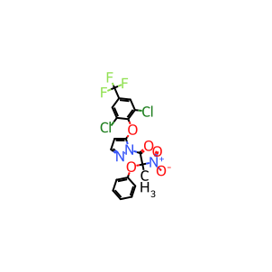 CC(Oc1ccccc1)(C(=O)n1nccc1Oc1c(Cl)cc(C(F)(F)F)cc1Cl)[N+](=O)[O-]